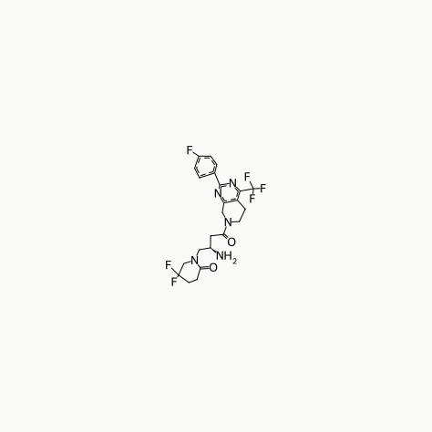 N[C@H](CC(=O)N1CCc2c(nc(-c3ccc(F)cc3)nc2C(F)(F)F)C1)CN1CC(F)(F)CCC1=O